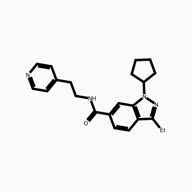 CCc1nn(C2CCCC2)c2cc(C(=O)NCCc3ccncc3)ccc12